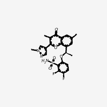 Cc1cc([C@@H](C)Oc2ccc(F)c(F)c2S(N)(=O)=O)c2oc(-c3cnn(C)c3)c(C)c(=O)c2c1